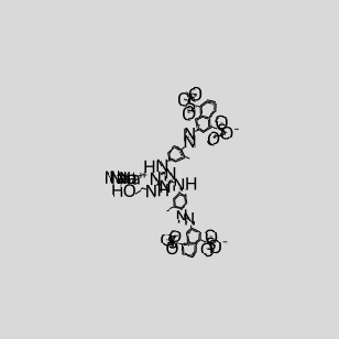 Cc1cc(Nc2nc(NCCO)nc(Nc3ccc(N=Nc4cc(S(=O)(=O)[O-])c5cccc(S(=O)(=O)[O-])c5c4)c(C)c3)n2)ccc1N=Nc1cc(S(=O)(=O)[O-])c2cccc(S(=O)(=O)[O-])c2c1.[Na+].[Na+].[Na+].[Na+]